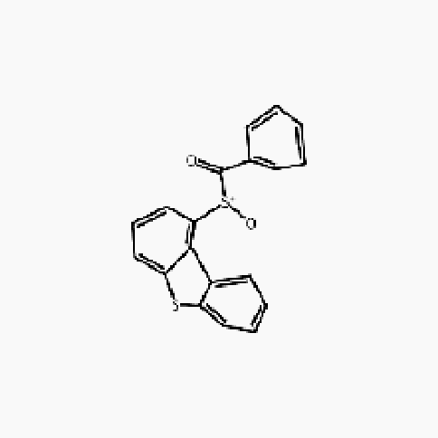 O=C(c1ccccc1)[S+]([O-])c1cccc2sc3ccccc3c12